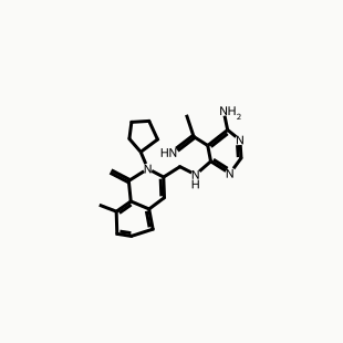 C=C1c2c(C)cccc2C=C(CNc2ncnc(N)c2C(C)=N)N1C1CCCC1